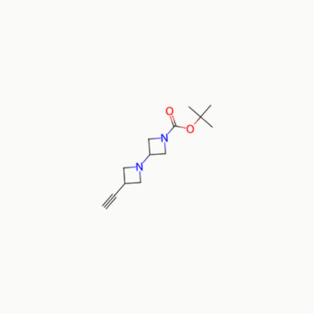 C#CC1CN(C2CN(C(=O)OC(C)(C)C)C2)C1